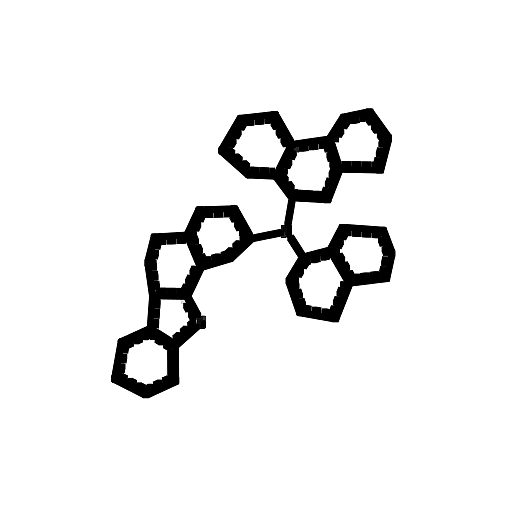 c1ccc2c(N(c3ccc4ccc5c6ccccc6sc5c4c3)c3cc4ccccc4c4ccccc34)cccc2c1